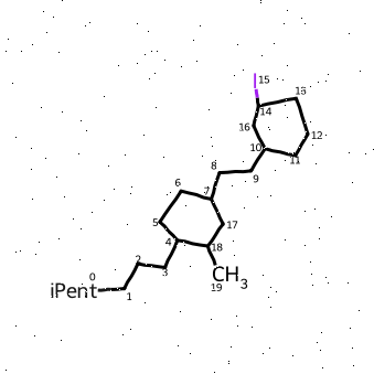 CCCC(C)CCCC1CCC(CCC2CCCC(I)C2)CC1C